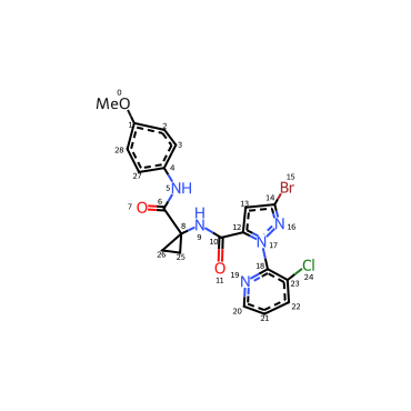 COc1ccc(NC(=O)C2(NC(=O)c3cc(Br)nn3-c3ncccc3Cl)CC2)cc1